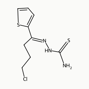 NC(=S)NN=C(CCCCl)c1cccs1